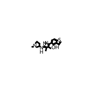 Cc1c(NC2CCCN(C)C2)nnc(-c2ccc3sccc3c2O)c1C